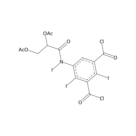 CC(=O)OCC(OC(C)=O)C(=O)N(I)c1cc(C(=O)Cl)c(I)c(C(=O)Cl)c1I